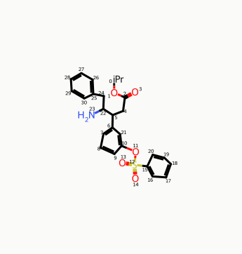 CC(C)OC(=O)CC(c1cccc(OS(=O)(=O)c2ccccc2)c1)C(N)Cc1ccccc1